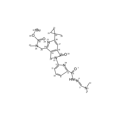 CN(C)/C=N/NC(=O)c1cccc(N2Cc3c(cc(C4(C)CC4)nc3CN(C)C(=O)OC(C)(C)C)C2=O)n1